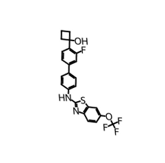 OC1(c2ccc(-c3ccc(Nc4nc5ccc(OC(F)(F)F)cc5s4)cc3)cc2F)CCC1